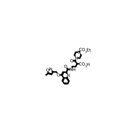 CCOC(=O)N1CCN(C(=O)C(CCNC(=O)c2cc(OCc3cc(C)on3)c3ccccc3n2)C(=O)O)CC1